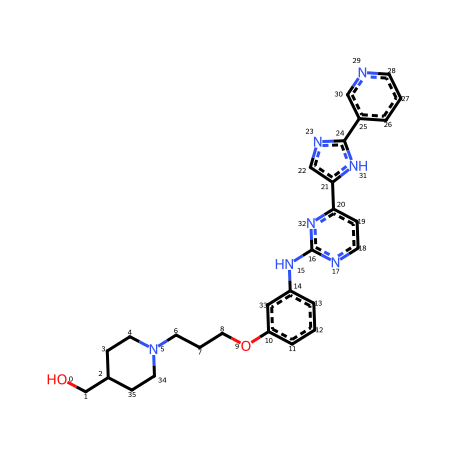 OCC1CCN(CCCOc2cccc(Nc3nccc(-c4cnc(-c5cccnc5)[nH]4)n3)c2)CC1